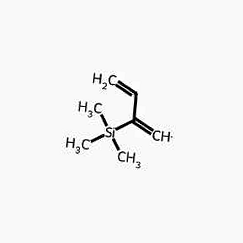 [CH]=C(C=C)[Si](C)(C)C